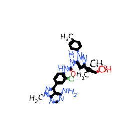 Cc1ccc(-n2nc(C(C)(C)CO)cc2NC(=O)Nc2ccc(-c3nn(C)c4ncnc(N)c34)cc2Cl)cc1